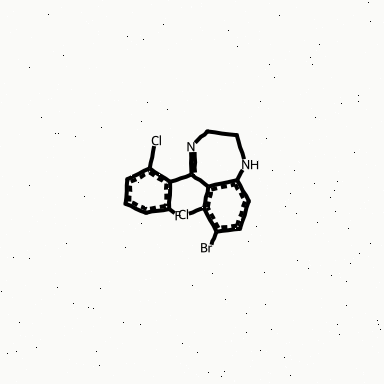 Fc1cccc(Cl)c1C1=NCCNc2ccc(Br)c(Cl)c21